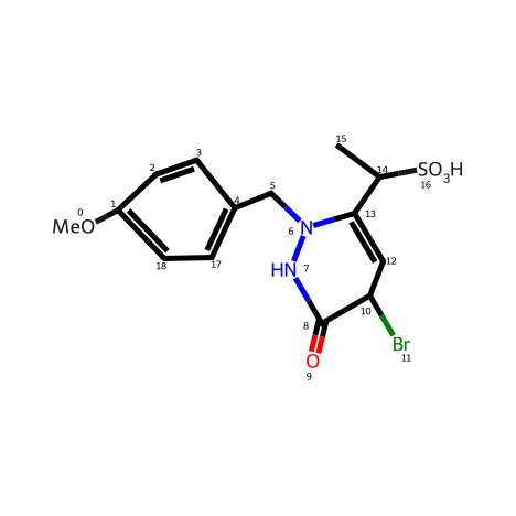 COc1ccc(CN2NC(=O)C(Br)C=C2C(C)S(=O)(=O)O)cc1